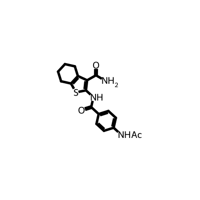 CC(=O)Nc1ccc(C(=O)Nc2sc3c(c2C(N)=O)CCCC3)cc1